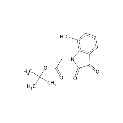 Cc1cccc2c1N(CC(=O)OC(C)(C)C)C(=O)C2=O